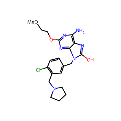 COCCOc1nc(N)c2nc(O)n(Cc3ccc(Cl)c(CN4CCCC4)c3)c2n1